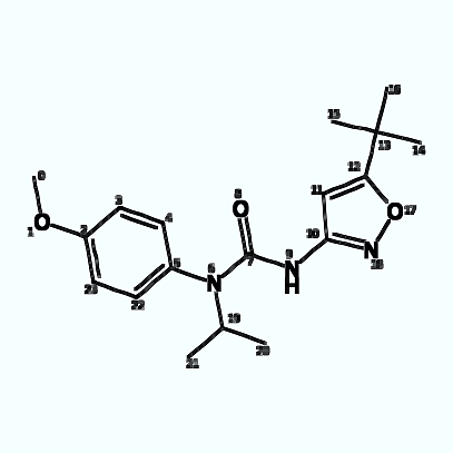 COc1ccc(N(C(=O)Nc2cc(C(C)(C)C)on2)C(C)C)cc1